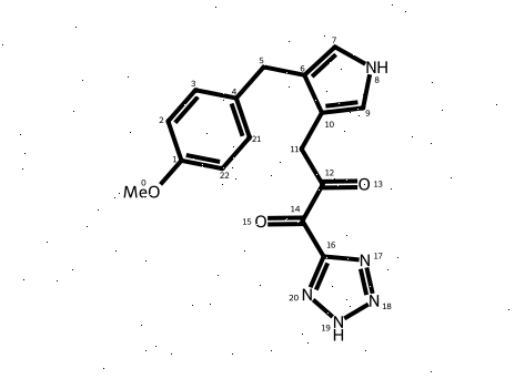 COc1ccc(Cc2c[nH]cc2CC(=O)C(=O)c2nn[nH]n2)cc1